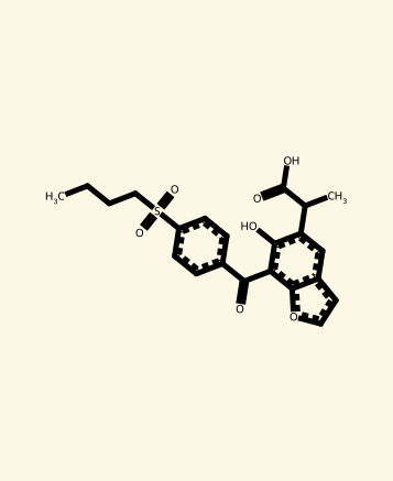 CCCCS(=O)(=O)c1ccc(C(=O)c2c(O)c(C(C)C(=O)O)cc3ccoc23)cc1